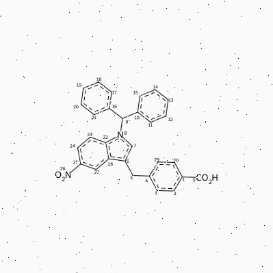 O=C(O)c1ccc(Cc2cn(C(c3ccccc3)c3ccccc3)c3ccc([N+](=O)[O-])cc23)cc1